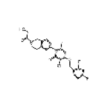 Cc1cc(OCc2ccc(F)cc2F)c(Cl)c(=O)n1-c1ccc2c(c1)CCN(C(=O)CO)C2